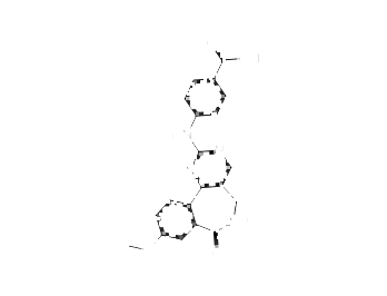 COc1ccc2c(c1)C(=O)NCc1cnc(Nc3ccc(C(=O)O)cc3)nc1-2